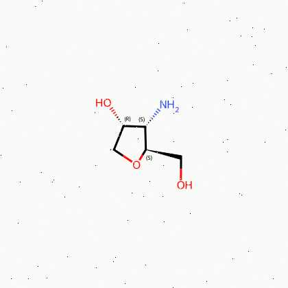 N[C@H]1[C@@H](O)[CH]O[C@@H]1CO